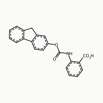 O=C(Nc1ccccc1C(=O)O)Oc1ccc2c(c1)Cc1ccccc1-2